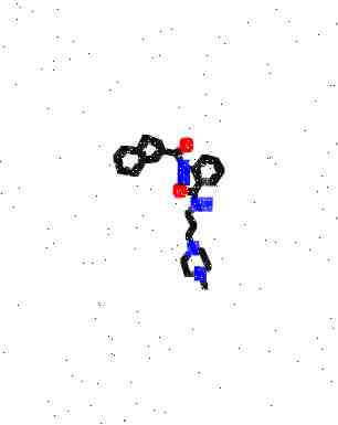 CN1CCN(CCCNC(=O)c2ccccc2NC(=O)c2ccc3ccccc3c2)CC1